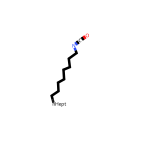 [CH2]CCCCCCCCCCCCCCN=C=O